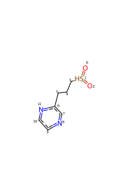 O=[SH](=O)CCCc1cnccn1